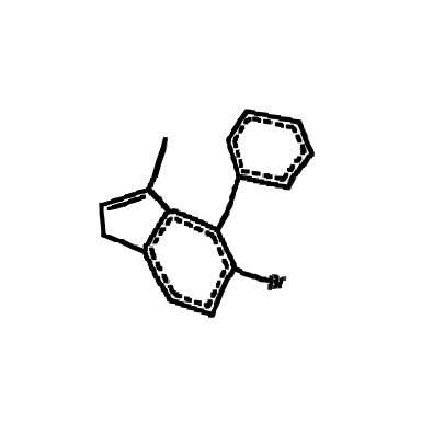 CC1=CCc2ccc(Br)c(-c3ccccc3)c21